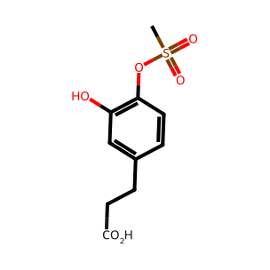 CS(=O)(=O)Oc1ccc(CCC(=O)O)cc1O